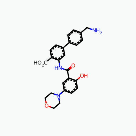 NCc1ccc(-c2ccc(C(=O)O)c(NC(=O)c3cc(N4CCOCC4)ccc3O)c2)cc1